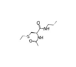 CCCNC(=O)[C@H](CSCC)NC(C)=O